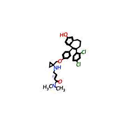 CN(C)C(=O)/C=C/CNC1(COc2ccc(C3=C(c4ccc(Cl)cc4Cl)CCCc4cc(O)ccc43)cc2)CC1